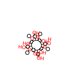 Oc1ccc(C2c3cc(c(OC4CCCCC4)cc3O)C(c3ccc(O)cc3)c3cc(c(OC4CCCCC4)cc3O)C(c3ccc(O)cc3)c3cc(c(O)cc3OC3CCCCC3)C(c3ccc(O)cc3)c3cc2c(O)cc3OC2CCCCC2)cc1